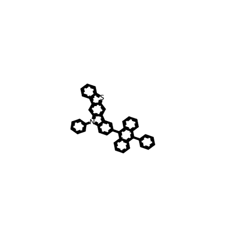 c1ccc(-c2c3ccccc3c(-c3ccc4c(c3)c3cc5sc6ccccc6c5cc3n4-c3ccccc3)c3ccccc23)cc1